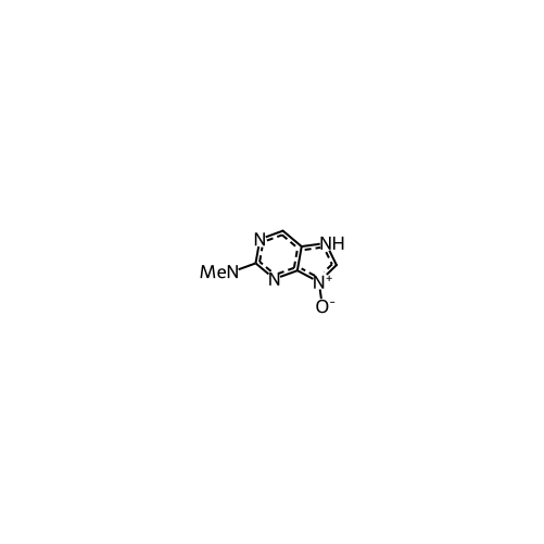 CNc1ncc2[nH]c[n+]([O-])c2n1